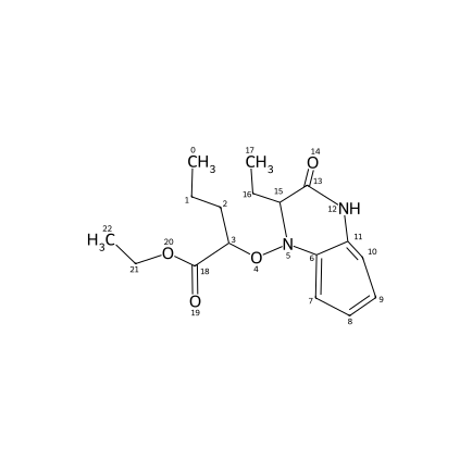 CCCC(ON1c2ccccc2NC(=O)C1CC)C(=O)OCC